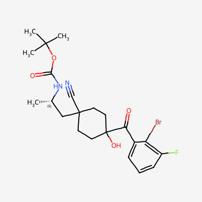 C[C@@H](CC1(C#N)CCC(O)(C(=O)c2cccc(F)c2Br)CC1)NC(=O)OC(C)(C)C